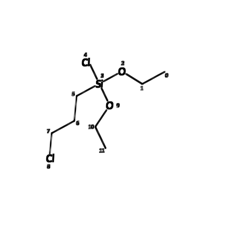 CCO[Si](Cl)(CCCCl)OCC